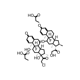 CCC(=O)O.CCC(=O)O.C[C@@H]1C[C@H]2[C@@H]3CCC4=CC(=O)C=C[C@]4(C)[C@@]3(F)C(O)C[C@]2(C)[C@H]1C(=O)CO.C[C@H]1C[C@H]2[C@@H]3CCC4=CC(=O)C=C[C@]4(C)[C@@]3(F)[C@@H](O)C[C@]2(C)[C@@]1(O)C(=O)CCl